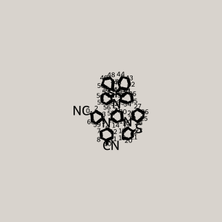 N#Cc1ccc(N(c2ccc(C#N)cc2)c2cc(N3c4ccccc4Sc4ccccc43)cc(N3c4ccccc4[Si](c4ccccc4)(c4ccccc4)c4ccccc43)c2)cc1